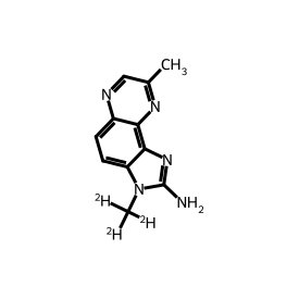 [2H]C([2H])([2H])n1c(N)nc2c3nc(C)cnc3ccc21